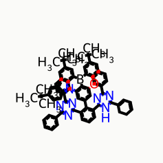 CC(C)(C)c1ccc2c(c1)B1c3c(cc(-c4c(-c5nc(C6=CCCC=C6)nc(-c6ccccc6)n5)cccc4C4N=C(c5ccccc5)N=C(C5=CC=CCC5)N4)cc3-n3c4ccc(C(C)(C)C)cc4c4cc(C(C)(C)C)cc1c43)O2